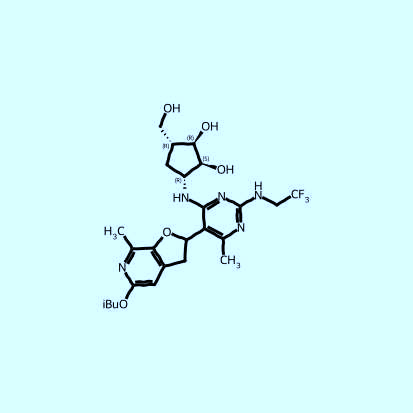 Cc1nc(OCC(C)C)cc2c1OC(c1c(C)nc(NCC(F)(F)F)nc1N[C@@H]1C[C@H](CO)[C@@H](O)[C@H]1O)C2